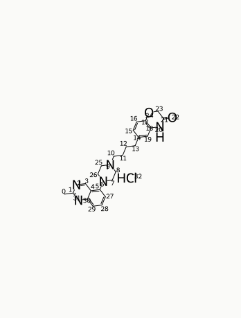 Cc1ncc2c(N3CCN(CCCCc4ccc5c(c4)NC(=O)CO5)CC3)cccc2n1.Cl